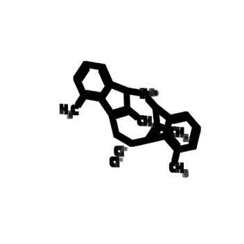 CC1=C2CCC3=C(C)[CH]([Zr+2][CH]1c1cccc(C)c12)c1cccc(C)c13.[Cl-].[Cl-]